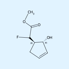 COC(=O)C(F)[C@@H]1CC=C[C@H]1O